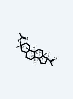 CC(=O)O[C@]1(C)CC[C@@]2(C)C(CC[C@@H]3[C@@H]2CC[C@@]2(C)[C@H]3CC[C@]2(F)C(C)=O)C1